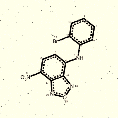 O=[N+]([O-])c1ccc(Nc2ccccc2Br)c2nonc12